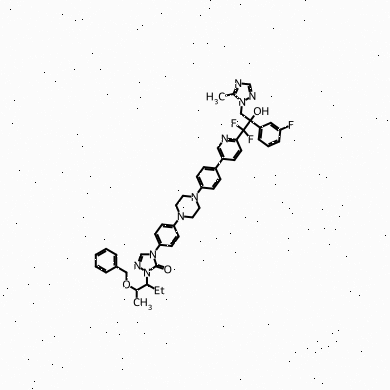 CCC(C(C)OCc1ccccc1)n1ncn(-c2ccc(N3CCN(c4ccc(-c5ccc(C(F)(F)C(O)(Cn6ncnc6C)c6cccc(F)c6)nc5)cc4)CC3)cc2)c1=O